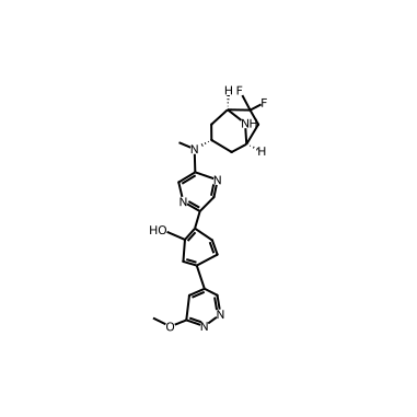 COc1cc(-c2ccc(-c3cnc(N(C)[C@H]4C[C@@H]5CC(F)(F)[C@H](C4)N5)cn3)c(O)c2)cnn1